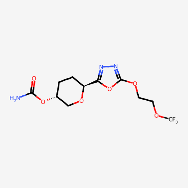 NC(=O)O[C@@H]1CC[C@@H](c2nnc(OCCOC(F)(F)F)o2)OC1